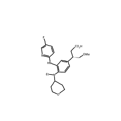 CCN(c1ccc([C@@H](COC)CC(=O)O)cc1Nc1ccc(F)cn1)C1CCOCC1